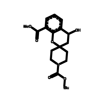 COC(=O)c1cccc2c1OC1(CCN(C(=O)OC(C)(C)C)CC1)CC2O